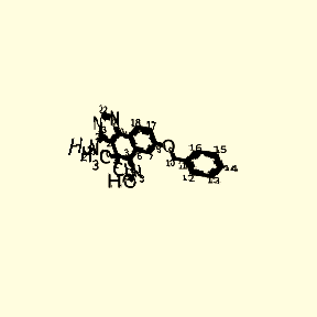 CC1(C)C(=NO)c2cc(OCc3ccccc3)ccc2-c2ncnc(N)c21